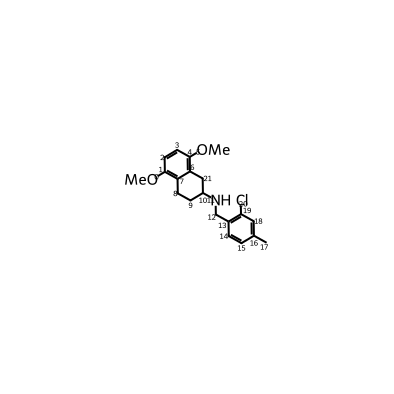 COc1ccc(OC)c2c1CCC(NCc1ccc(C)cc1Cl)C2